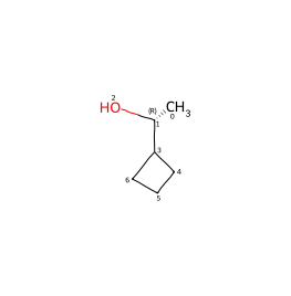 C[C@@H](O)C1CCC1